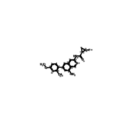 COc1ccc(-c2cc(N)c3cnc(NC(=O)[C@H]4C[C@H]4F)cc3c2)c(C)n1